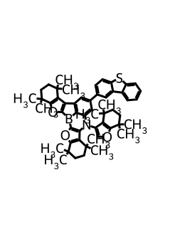 CC1(C)CCC(C)(C)c2c(N3c4cc(-c5ccc6sc7ccccc7c6c5)cc5c4B(c4oc6c(c4-5)C(C)(C)CCC6(C)C)c4oc5c(c43)C(C)(C)CCC5(C)C)coc21